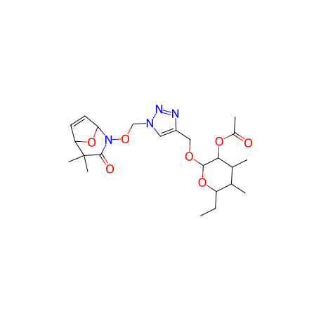 CCC1OC(OCc2cn(CON3C(=O)C(C)(C)C4C=CC3O4)nn2)C(OC(C)=O)C(C)C1C